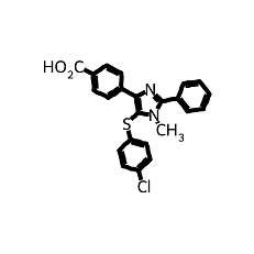 Cn1c(-c2ccccc2)nc(-c2ccc(C(=O)O)cc2)c1Sc1ccc(Cl)cc1